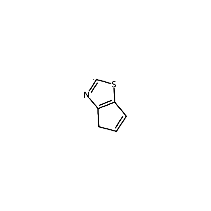 [c]1nc2c(s1)C=CC2